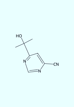 CC(C)(O)c1cc(C#N)ncn1